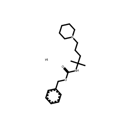 CC(C)(CCCN1CCCCC1)NC(=O)OCc1ccccc1.I